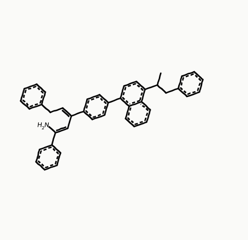 CC(Cc1ccccc1)c1ccc(-c2ccc(C(/C=C(\N)c3ccccc3)=C/Cc3ccccc3)cc2)c2ccccc12